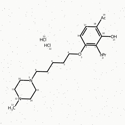 CCCc1c(OCCCCCN2CCN(C)CC2)ccc(C(C)=O)c1O.Cl.Cl